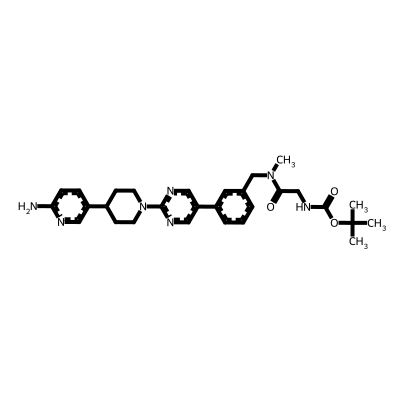 CN(Cc1cccc(-c2cnc(N3CCC(c4ccc(N)nc4)CC3)nc2)c1)C(=O)CNC(=O)OC(C)(C)C